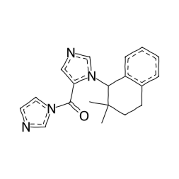 CC1(C)CCc2ccccc2C1n1cncc1C(=O)n1ccnc1